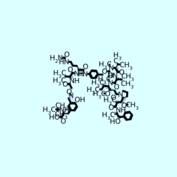 CC[C@H](C)[C@@H]([C@@H](CC(=O)N1CCC[C@H]1[C@H](OC)[C@@H](C)C(=O)N[C@H](C)[C@@H](O)c1ccccc1)OC)N(C)C(=O)[C@@H](NC(=O)[C@H](C(C)C)N(C)C(=O)OCc1ccc(NC(=O)[C@H](CCCNC(N)=O)NC(=O)[C@@H](NC(=O)CO/N=C/c2cc(C[C@H](NC(C)(C)C)C(=O)O)ccc2O)C(C)C)cc1)C(C)C